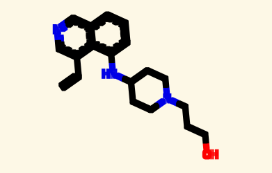 C=Cc1cncc2cccc(NC3CCN(CCCO)CC3)c12